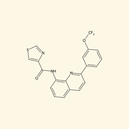 O=C(Nc1cccc2ccc(-c3cccc(OC(F)(F)F)c3)nc12)c1cscn1